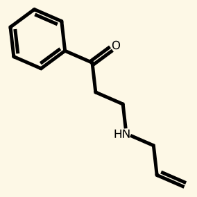 C=CCNCCC(=O)c1ccccc1